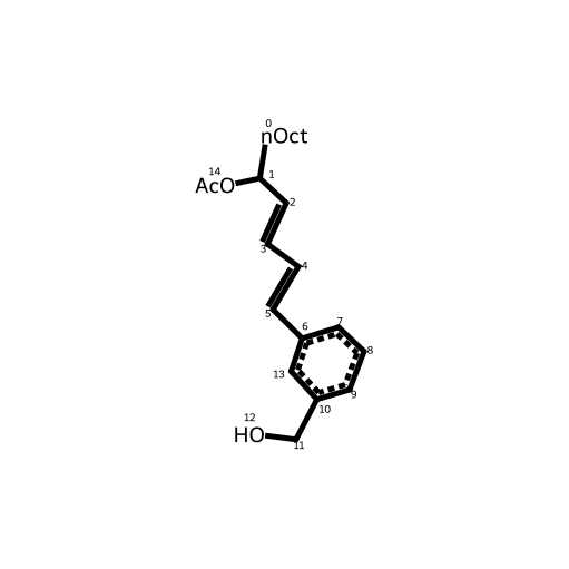 CCCCCCCCC(C=CC=Cc1cccc(CO)c1)OC(C)=O